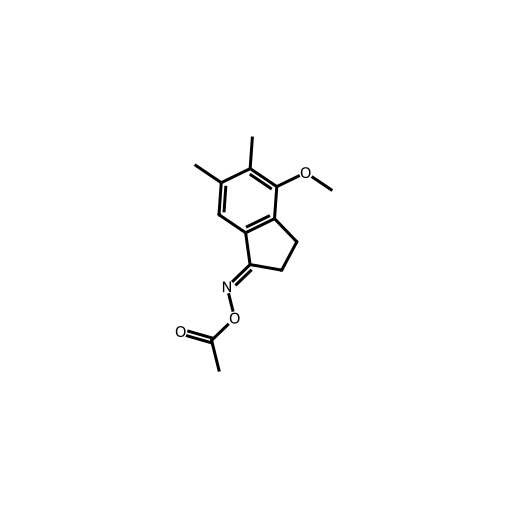 COc1c(C)c(C)cc2c1CC/C2=N\OC(C)=O